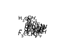 CCn1nccc1C(=O)N[C@H](C(=O)Nc1ccc([C@H](C)[C@@H](NC(=O)[C@@H](C)C(F)(F)F)C(=O)N2CCN(C)[C@H](C)C2)cc1F)C(C1CC1)C1CC1